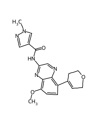 COc1ccc(C2=CCOCC2)c2ncc(NC(=O)c3cnn(C)c3)nc12